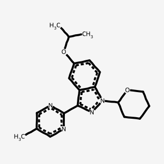 Cc1cnc(-c2nn(C3CCCCO3)c3ccc(OC(C)C)cc23)nc1